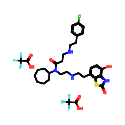 O=C(CCNCCc1ccc(Cl)cc1)N(CCNCCc1ccc(O)c2[nH]c(=O)sc12)C1CCCCCC1.O=C(O)C(F)(F)F.O=C(O)C(F)(F)F